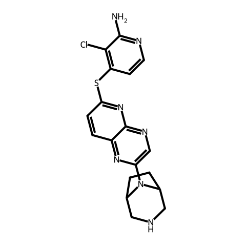 Nc1nccc(Sc2ccc3nc(N4C5CCC4CNC5)cnc3n2)c1Cl